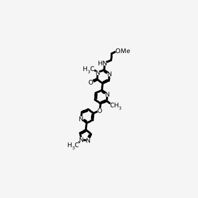 COCCNc1ncc(-c2ccc(Oc3ccnc(-c4cnn(C)c4)c3)c(C)n2)c(=O)n1C